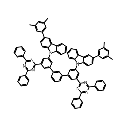 Cc1cc(C)cc(-c2ccc3c(c2)c2ccccc2n3-c2cc(-c3cccc(-c4cc(-c5nc(-c6ccccc6)nc(-c6ccccc6)n5)cc(-n5c6ccccc6c6cc(-c7cc(C)cc(C)c7)ccc65)c4)c3)cc(-c3nc(-c4ccccc4)nc(-c4ccccc4)n3)c2)c1